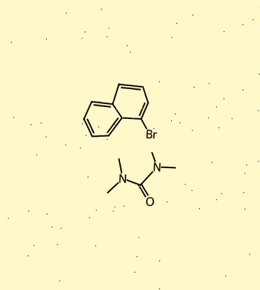 Brc1cccc2ccccc12.CN(C)C(=O)N(C)C